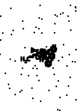 CCCCC(O)C(CC1CC1)C(=O)NC1N=C(c2ccccc2F)c2ccccc2N(Cc2cccnc2)C1=O